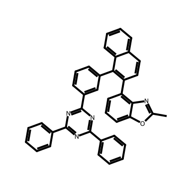 Cc1nc2c(-c3ccc4ccccc4c3-c3cccc(-c4nc(-c5ccccc5)nc(-c5ccccc5)n4)c3)cccc2o1